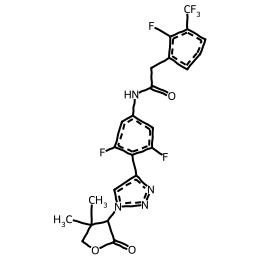 CC1(C)COC(=O)C1n1cc(-c2c(F)cc(NC(=O)Cc3cccc(C(F)(F)F)c3F)cc2F)nn1